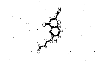 N#Cc1cc(=O)c2cc(NCCC=O)ccc2o1